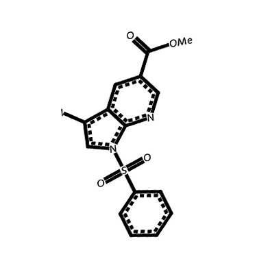 COC(=O)c1cnc2c(c1)c(I)cn2S(=O)(=O)c1ccccc1